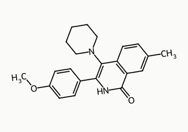 COc1ccc(-c2[nH]c(=O)c3cc(C)ccc3c2N2CCCCC2)cc1